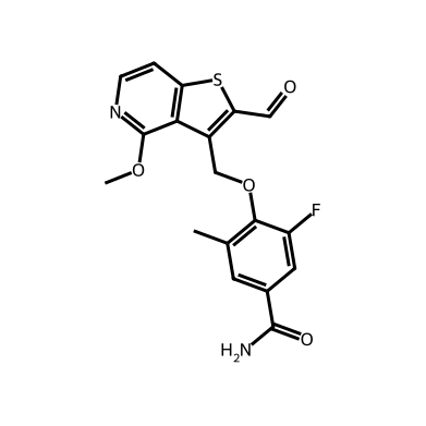 COc1nccc2sc(C=O)c(COc3c(C)cc(C(N)=O)cc3F)c12